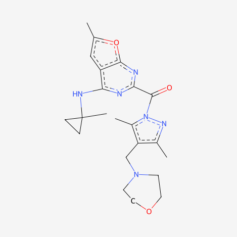 Cc1cc2c(NC3(C)CC3)nc(C(=O)n3nc(C)c(CN4CCOCC4)c3C)nc2o1